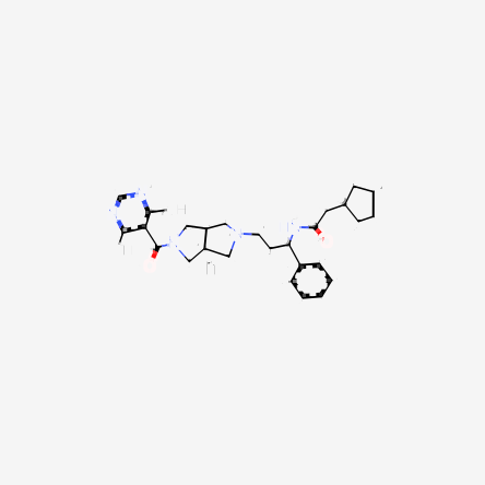 Cc1ncnc(C)c1C(=O)N1CC2CN(CCC(NC(=O)CC3CCCC3)c3ccccc3)C[C@H]2C1